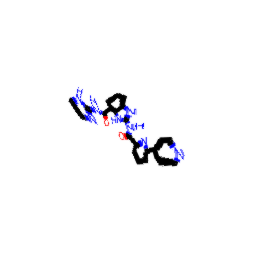 O=C(Nc1nc2cccc(C(=O)Nc3ncc[nH]3)c2[nH]1)c1cccc(-c2ccncc2)n1